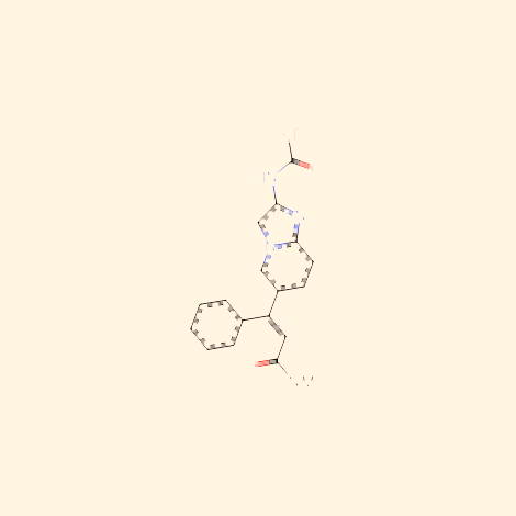 CNC(=O)/C=C(\c1ccccc1)c1ccc2nc(NC(=O)C(F)(F)F)cn2c1